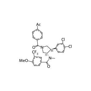 COc1ccc(C(=O)N(C)[C@@H]2CN(C(=O)c3ccc(C(C)=O)cc3)C[C@H]2c2ccc(Cl)c(Cl)c2)cc1C(F)(F)F